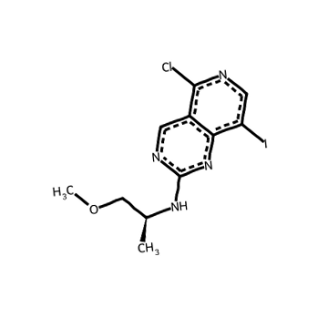 COC[C@H](C)Nc1ncc2c(Cl)ncc(I)c2n1